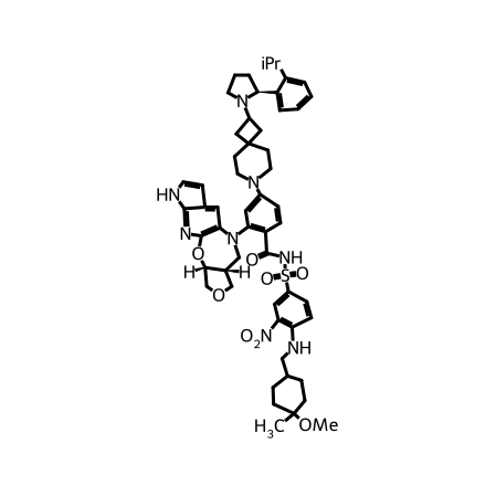 COC1(C)CCC(CNc2ccc(S(=O)(=O)NC(=O)c3ccc(N4CCC5(CC4)CC(N4CCC[C@H]4c4ccccc4C(C)C)C5)cc3N3C[C@@H]4COC[C@@H]4Oc4nc5[nH]ccc5cc43)cc2[N+](=O)[O-])CC1